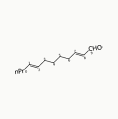 CCCC=CCCCCC=C[C]=O